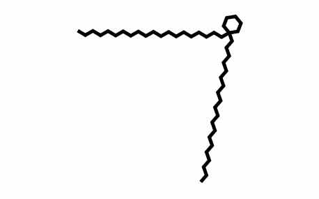 CCCCCCCCCCCCCCCCCCCCC1(CCCCCCCCCCCCCCCCCCCC)CCCCC1